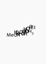 CCOC1=CC2=CC[C@@H]3[C@H](CC[C@]4(C)C(C5=NC(OC)OC5)=CC[C@@H]34)[C@@]2(C)CC1